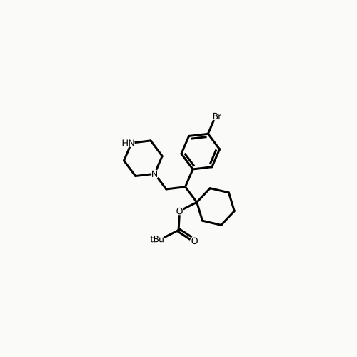 CC(C)(C)C(=O)OC1(C(CN2CCNCC2)c2ccc(Br)cc2)CCCCC1